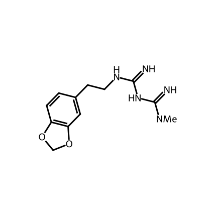 CNC(=N)NC(=N)NCCc1ccc2c(c1)OCO2